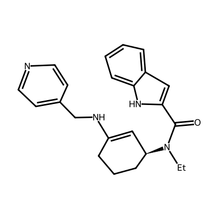 CCN(C(=O)c1cc2ccccc2[nH]1)[C@@H]1C=C(NCc2ccncc2)CCC1